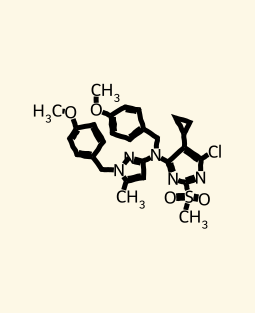 COc1ccc(CN(c2cc(C)n(Cc3ccc(OC)cc3)n2)c2nc(S(C)(=O)=O)nc(Cl)c2C2CC2)cc1